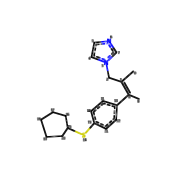 CC(Cn1ccnc1)=C(C)c1ccc(SC2CCCCC2)cc1